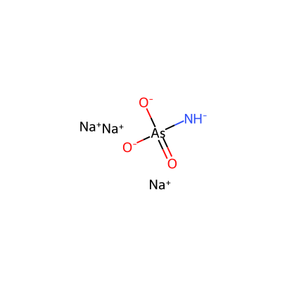 [NH-][As](=O)([O-])[O-].[Na+].[Na+].[Na+]